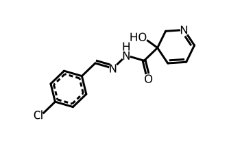 O=C(NN=Cc1ccc(Cl)cc1)C1(O)C=CC=NC1